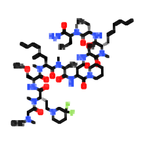 C=C/C=C\C=C\C[C@@H](C(=O)N[C@@H](CC(C)C)C(=O)N(C)[C@@H](CC(C)C)C(N)=O)N(C)C(=O)C(NC(=O)CC(NC(=O)[C@H](C(C)C)N(C)C(=O)[C@H](CC(=C)/C=C\C=C)N(C)C(=O)[C@H](COC(C)(C)C)NC(=O)[C@H](CCN1CCCC(F)(F)C1)N(C)C(=O)CN(C)C=O)C(=O)N1CCCCC1)C(C)C